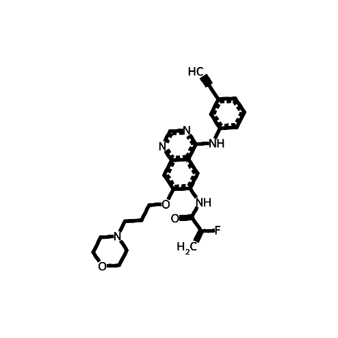 C#Cc1cccc(Nc2ncnc3cc(OCCCN4CCOCC4)c(NC(=O)C(=C)F)cc23)c1